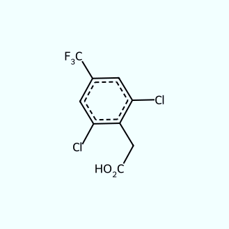 O=C(O)Cc1c(Cl)cc(C(F)(F)F)cc1Cl